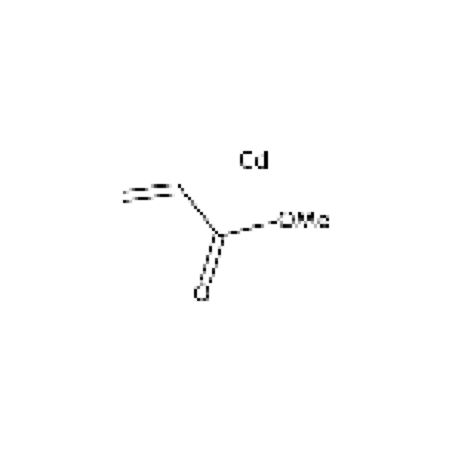 C=CC(=O)OC.[Cd]